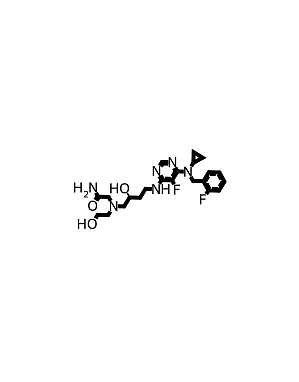 NC(=O)CN(CCO)C[C@H](O)CCNc1ncnc(N(Cc2ccccc2F)C2CC2)c1F